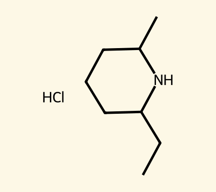 CCC1CCCC(C)N1.Cl